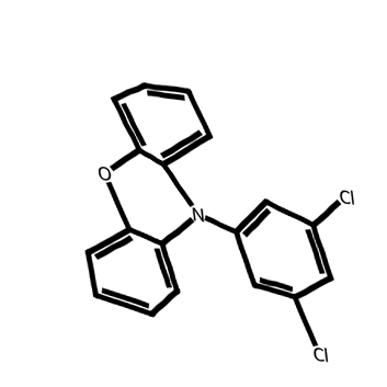 Clc1cc(Cl)cc(N2c3ccccc3Oc3ccccc32)c1